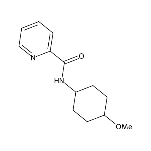 COC1CCC(NC(=O)c2ccccn2)CC1